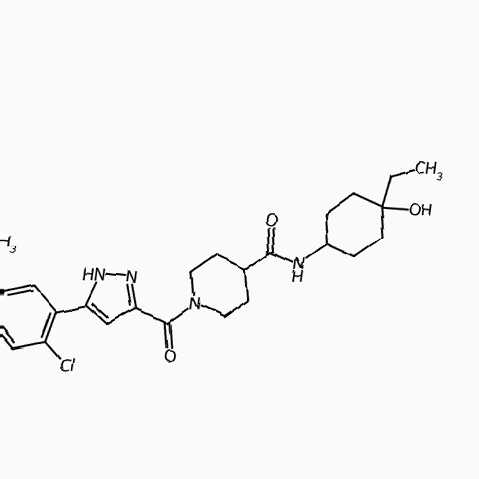 CCC1(O)CCC(NC(=O)C2CCN(C(=O)c3cc(-c4cc(OC)ncc4Cl)[nH]n3)CC2)CC1